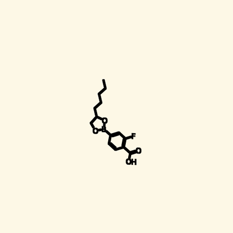 CCCCCC1COB(c2ccc(C(=O)O)c(F)c2)O1